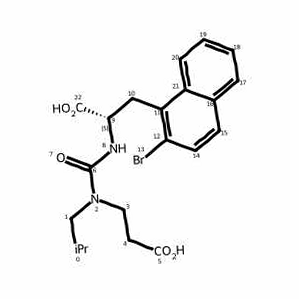 CC(C)CN(CCC(=O)O)C(=O)N[C@@H](Cc1c(Br)ccc2ccccc12)C(=O)O